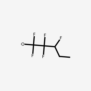 CCC(F)C(F)(F)C([O])(F)F